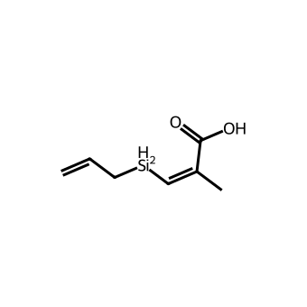 C=CC[SiH2]C=C(C)C(=O)O